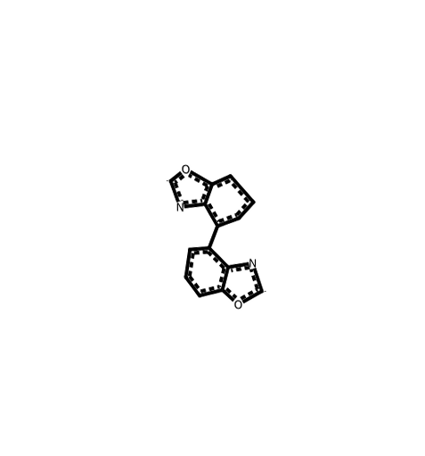 [c]1nc2c(-c3cccc4o[c]nc34)cccc2o1